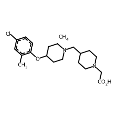 C.Cc1cc(Cl)ccc1OC1CCN(CC2CCN(CC(=O)O)CC2)CC1